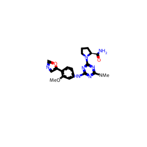 CNc1nc(Nc2ccc(-c3cnco3)c(OC)c2)nc(N2CCC[C@H]2C(N)=O)n1